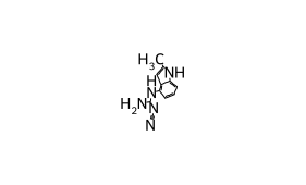 Cc1cc2c(NC(N)=NC#N)cccc2[nH]1